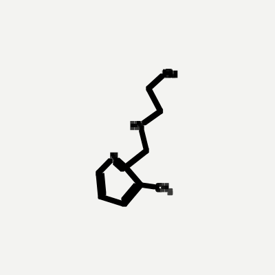 Cc1cccnc1CNCCC(C)(C)C